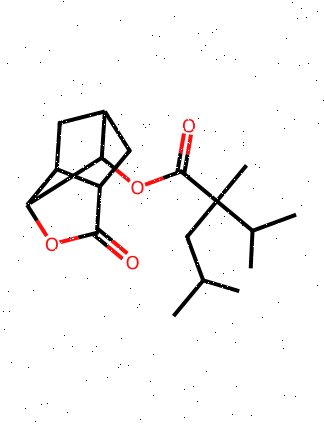 CC(C)CC(C)(C(=O)OC1C2CC3C(=O)OC1C3C2)C(C)C